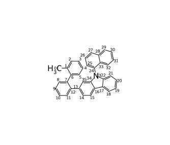 Cc1ccccc1-c1ccccc1-c1ccc2c3ccccc3n(-c3cccc4ccccc34)c2c1